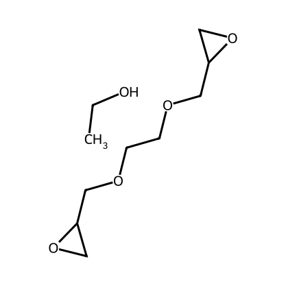 C(COCC1CO1)OCC1CO1.CCO